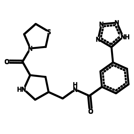 O=C(NCC1CNC(C(=O)N2CCSC2)C1)c1cccc(-c2nnn[nH]2)c1